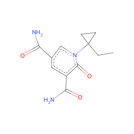 CCC1(n2cc(C(N)=O)cc(C(N)=O)c2=O)CC1